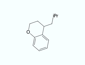 CC(C)CC1CCOc2ccccc21